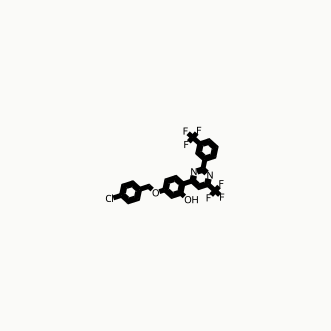 Oc1cc(OCc2ccc(Cl)cc2)ccc1-c1cc(C(F)(F)F)nc(-c2cccc(C(F)(F)F)c2)n1